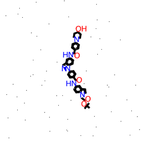 CC(C)(C)OC(=O)Cn1ccc2cc(NC(=O)c3ccc(-n4ncc5cc(NC(=O)c6ccc(N7CCC(O)CC7)cc6)ccc54)cc3)ccc21